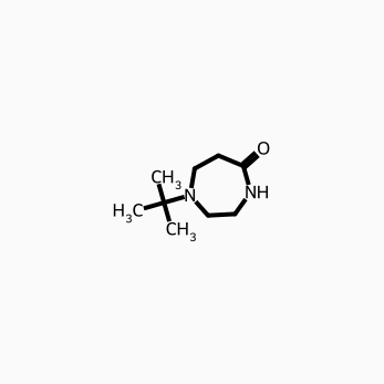 CC(C)(C)N1CCNC(=O)CC1